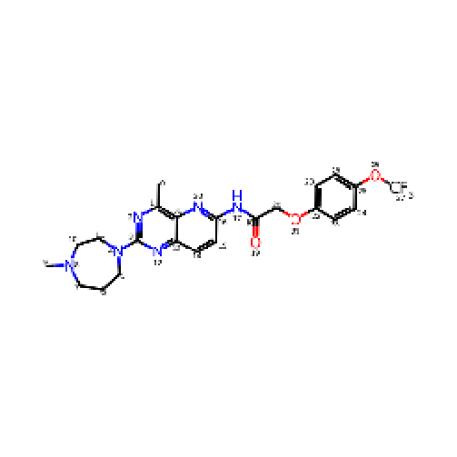 Cc1nc(N2CCCN(C)CC2)nc2ccc(NC(=O)COc3ccc(OC(F)(F)F)cc3)nc12